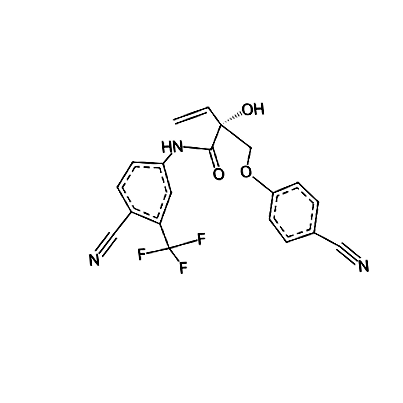 C=C[C@@](O)(COc1ccc(C#N)cc1)C(=O)Nc1ccc(C#N)c(C(F)(F)F)c1